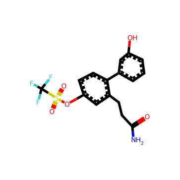 NC(=O)CCc1cc(OS(=O)(=O)C(F)(F)F)ccc1-c1cccc(O)c1